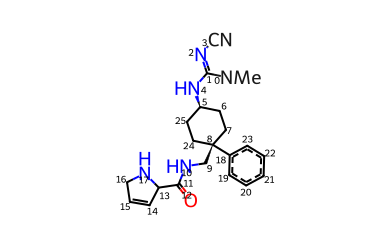 CN/C(=N\C#N)N[C@H]1CC[C@](CNC(=O)C2C=CCN2)(c2ccccc2)CC1